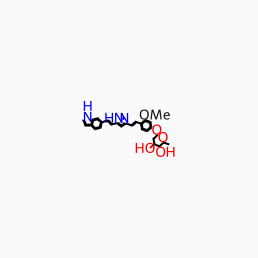 COc1cc(OC2CC(O)[C@H](O)C(C)O2)ccc1/C=C/c1cc(/C=C/c2ccc3cc[nH]c3c2)[nH]n1